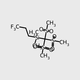 C[Si](C)(CCC(F)(F)F)C(S(C)(=O)=O)(S(C)(=O)=O)S(C)(=O)=O